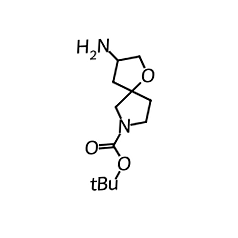 CC(C)(C)OC(=O)N1CCC2(CC(N)CO2)C1